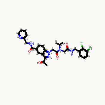 CC(=O)c1nn(CC(=O)N(CC(=O)NCc2cccc(Cl)c2F)C(C)C)c2ccc(C(=O)NCc3ccccn3)cc12